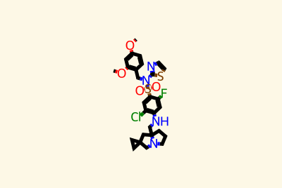 COc1ccc(CN(c2nccs2)S(=O)(=O)c2cc(Cl)c(NCC34CCCN3CC3(CC3)C4)cc2F)c(OC)c1